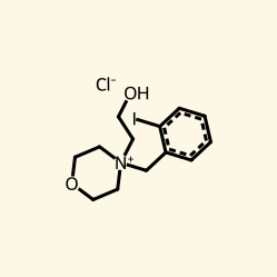 OCC[N+]1(Cc2ccccc2I)CCOCC1.[Cl-]